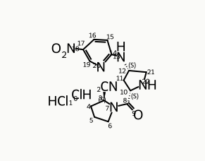 Cl.Cl.N#C[C@@H]1CCCN1C(=O)[C@@H]1C[C@H](Nc2ccc([N+](=O)[O-])cn2)CN1